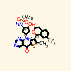 COS(=O)(=O)N[C@@H]1C[C@@H](Nc2ncncc2C(=O)c2cc([C@H]3OCCc4ccc(C(F)(F)F)cc43)c(C)s2)C[C@@H]1O